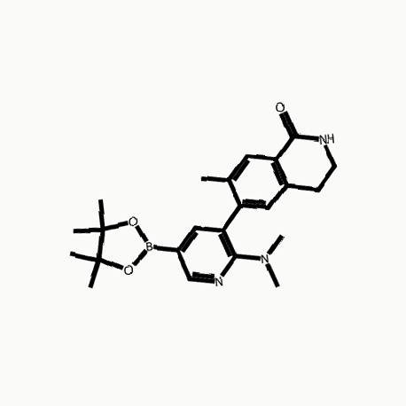 Cc1cc2c(cc1-c1cc(B3OC(C)(C)C(C)(C)O3)cnc1N(C)C)CCNC2=O